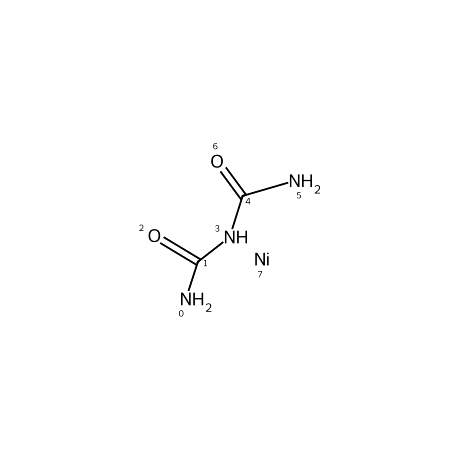 NC(=O)NC(N)=O.[Ni]